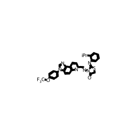 CC(C)c1ccccc1N=C1SCC(=O)N1N=Cc1ccc2c(ccc3c2ncn3-c2ccc(OC(F)(F)F)cc2)n1